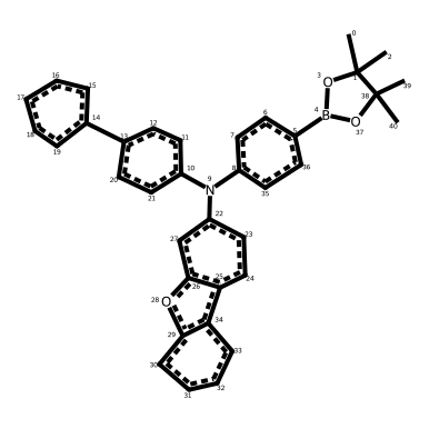 CC1(C)OB(c2ccc(N(c3ccc(-c4ccccc4)cc3)c3ccc4c(c3)oc3ccccc34)cc2)OC1(C)C